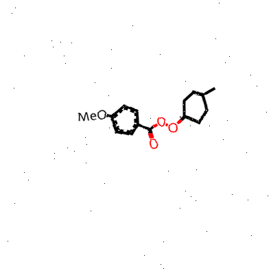 COc1ccc(C(=O)OO[C]2CCC(C)CC2)cc1